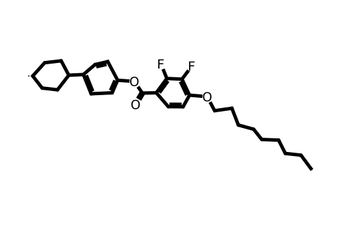 CCCCCCCCCOc1ccc(C(=O)Oc2ccc(C3CC[CH]CC3)cc2)c(F)c1F